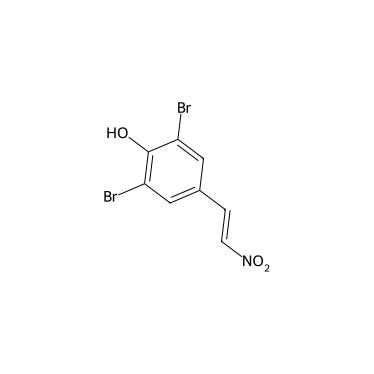 O=[N+]([O-])C=Cc1cc(Br)c(O)c(Br)c1